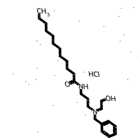 CCCCCCCCCCCC(=O)NCCCN(CCO)Cc1ccccc1.Cl